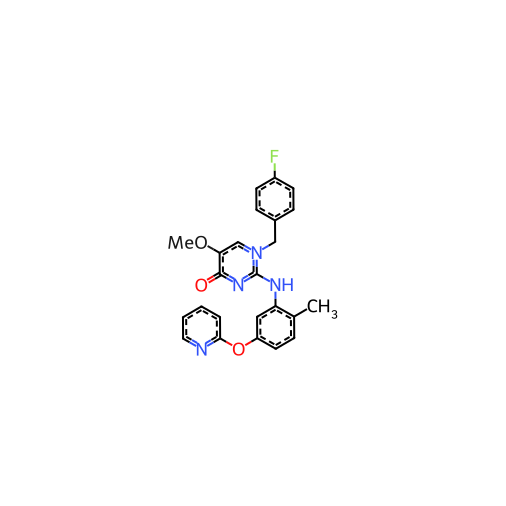 COc1cn(Cc2ccc(F)cc2)c(Nc2cc(Oc3ccccn3)ccc2C)nc1=O